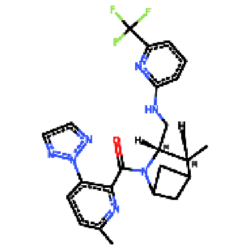 Cc1ccc(-n2nccn2)c(C(=O)N2C3CC(C3)[C@@H](C)[C@H]2CNc2cccc(C(F)(F)F)n2)n1